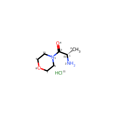 C[C@H](N)C(=O)N1CCOCC1.Cl